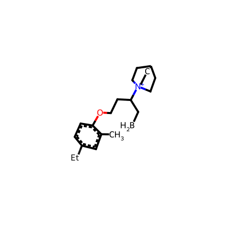 BCC(CCOc1ccc(CC)cc1C)[N+]12CCC(CC1)CC2